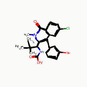 Cn1c(C(NC(=O)O)C(C)(C)C)c(-c2cccc(O)c2)c2cc(Cl)ccc2c1=O